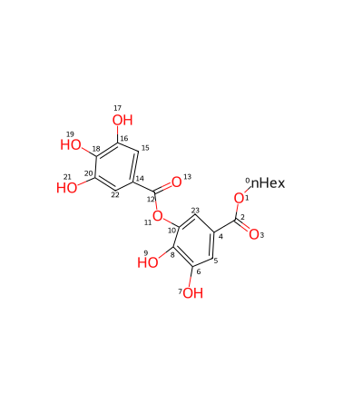 CCCCCCOC(=O)c1cc(O)c(O)c(OC(=O)c2cc(O)c(O)c(O)c2)c1